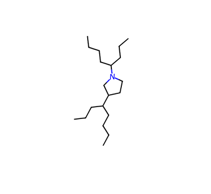 CCCCC(CCC)C1CCN(C(CCC)CCCC)C1